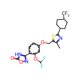 Cc1nc(C2CCC(C(F)(F)F)CC2)sc1COc1ccc(-c2noc(=O)[nH]2)c(OC(F)F)c1